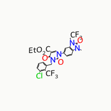 CCOC(=O)c1cn(-c2ccc3c(c2)n(CC(F)(F)F)c(=O)n3C)c(=O)n(Cc2cccc(Cl)c2C(F)(F)F)c1=O